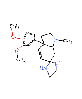 COc1ccc(C23C=CC4(CC2N(C)CC3)NCCN4)cc1OC